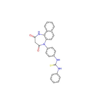 O=C1CC(=O)N(c2ccc(NC(=S)Nc3ccccc3)cc2)c2ccc3ccccc3c2N1